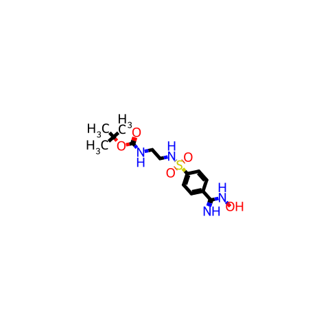 CC(C)(C)OC(=O)NCCNS(=O)(=O)c1ccc(C(=N)NO)cc1